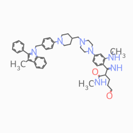 CNC(=O)C(CCC=O)C(=N)c1ccc(N2CCN(CC3CCN(c4ccc(Cn5c(-c6ccccc6)c(C)c6ccccc65)cc4)CC3)CC2)cc1NC